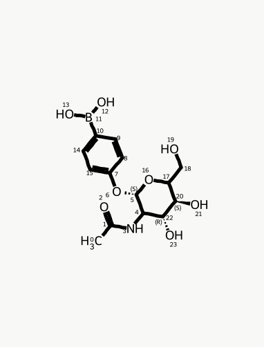 CC(=O)NC1[C@H](Oc2ccc(B(O)O)cc2)OC(CO)[C@@H](O)[C@@H]1O